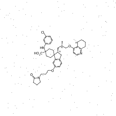 C[C@@H](COc1ccnc2c1[C@H](C)CCC2)C[C@H]1Cc2ccc(OCCCN3CCCC3=O)cc2C12CCC(Nc1cccc(Cl)c1)(C(=O)O)CC2